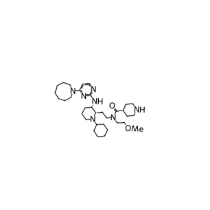 COCCN(CC[C@@H]1[C@@H](Nc2nccc(N3CCCCCCC3)n2)CCCN1C1CCCCC1)C(=O)C1CCNCC1